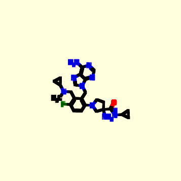 CN(Cc1c(F)ccc(N2CC[C@](N)(C(=O)NC3CC3)C2)c1Cn1cnc2c(N)ncnc21)C1CC1